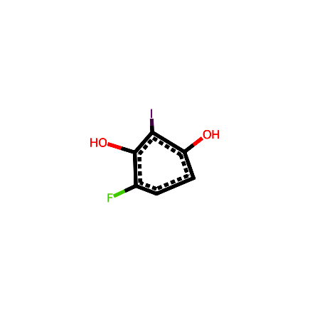 Oc1ccc(F)c(O)c1I